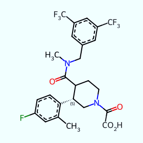 Cc1cc(F)ccc1[C@H]1CN(C(=O)C(=O)O)CCC1C(=O)N(C)Cc1cc(C(F)(F)F)cc(C(F)(F)F)c1